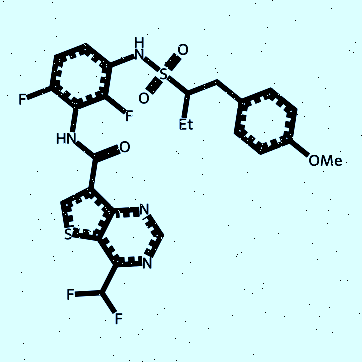 CCC(Cc1ccc(OC)cc1)S(=O)(=O)Nc1ccc(F)c(NC(=O)c2csc3c(C(F)F)ncnc23)c1F